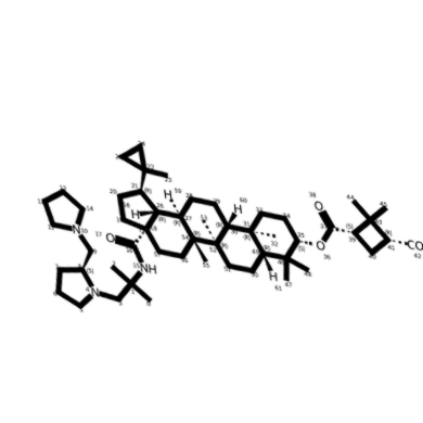 CC(C)(CN1CCC[C@H]1CN1CCCC1)NC(=O)[C@]12CC[C@@H](C3(C)CC3)[C@@H]1[C@H]1CC[C@@H]3[C@@]4(C)CC[C@H](OC(=O)[C@H]5C[C@@H](C(=O)O)C5(C)C)C(C)(C)[C@@H]4CC[C@@]3(C)[C@]1(C)CC2